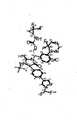 CC(C)(C)C[C@]1(c2ccc(-c3cnn(C(F)F)c3)cc2)NC(=N)N([C@H](COC(=O)N[C@@H]2CC2(F)F)c2ccc(Cl)c(N3N=CN=CC3(F)F)c2)C1=O